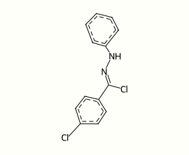 ClC(=NNc1ccccc1)c1ccc(Cl)cc1